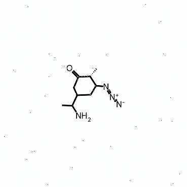 CC(N)C1CC(=O)[C@H](C)C(N=[N+]=[N-])C1